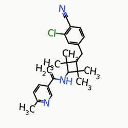 C=C(NC1C(C)(C)C(Cc2ccc(C#N)c(Cl)c2)C1(C)C)c1ccc(C)nc1